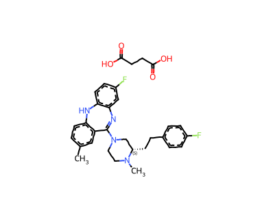 Cc1ccc2c(c1)C(N1CCN(C)[C@@H](CCc3ccc(F)cc3)C1)=Nc1cc(F)ccc1N2.O=C(O)CCC(=O)O